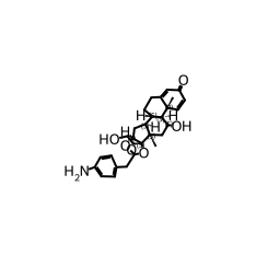 C[C@]12C=CC(=O)C=C1CC[C@@H]1[C@@H]2[C@@H](O)C[C@@]2(C)[C@H]1C[C@H]1OC(Cc3ccc(N)cc3)O[C@]12C(=O)CO